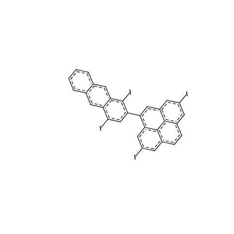 Ic1cc2ccc3cc(I)cc4c(-c5cc(I)c6cc7ccccc7cc6c5I)cc(c1)c2c34